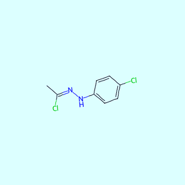 CC(Cl)=NNc1ccc(Cl)cc1